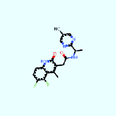 Cc1c(CC(=O)N[C@H](C)c2ncc(C#N)cn2)c(=O)[nH]c2ccc(F)c(F)c12